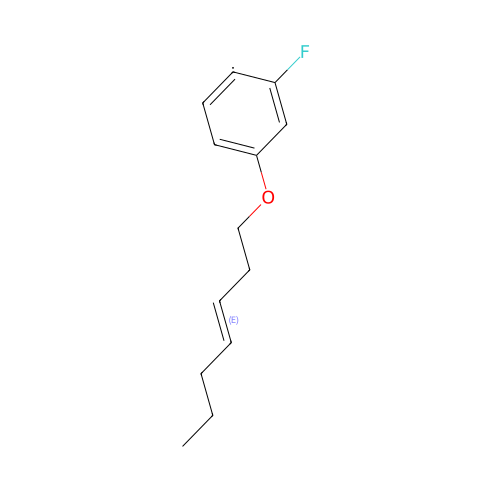 CCC/C=C/CCOc1cc[c]c(F)c1